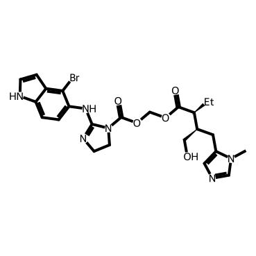 CC[C@H](C(=O)OCOC(=O)N1CCN=C1Nc1ccc2[nH]ccc2c1Br)[C@H](CO)Cc1cncn1C